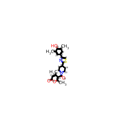 Cc1cc(-c2csc(C3CCN(C(=O)c4c(C)cc(=O)oc4C)CC3)n2)cc(C)c1O